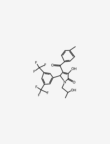 Cc1ccc(C(=O)C2=C(O)C(=O)N(CC(C)O)C2c2cc(C(F)(F)F)cc(C(F)(F)F)c2)cc1